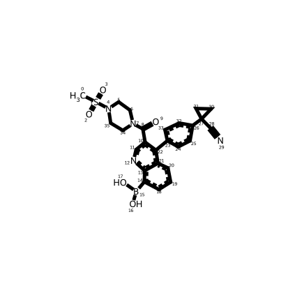 CS(=O)(=O)N1CCN(C(=O)c2cnc3c(B(O)O)cccc3c2-c2ccc(C3(C#N)CC3)cc2)CC1